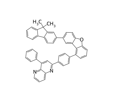 CC1(C)c2ccccc2-c2ccc(-c3ccc4oc5cccc(-c6ccc(-c7cc(-c8ccccc8)c8ncccc8n7)cc6)c5c4c3)cc21